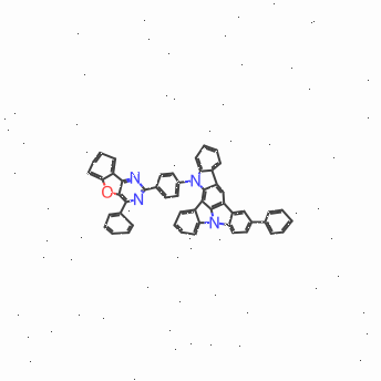 c1ccc(-c2ccc3c(c2)c2cc4c5ccccc5n(-c5ccc(-c6nc(-c7ccccc7)c7oc8ccccc8c7n6)cc5)c4c4c5ccccc5n3c24)cc1